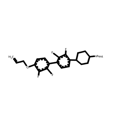 C=CCOc1ccc(-c2ccc(C3CCC(CCCCC)CC3)c(F)c2F)c(F)c1F